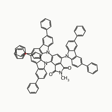 CN1C(=O)c2c(-n3c4ccc(-c5ccccc5)cc4c4cc(-c5ccccc5)ccc43)cc(-n3c4ccc(-c5ccccc5)cc4c4cc(-c5ccccc5)ccc43)c(-n3c4ccc(-c5ccccc5)cc4c4cc(-c5ccccc5)ccc43)c2C1=O